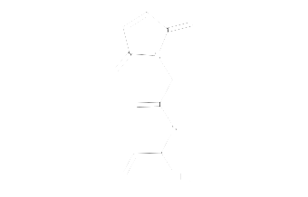 CC(C=O)NC(=O)CN1C(=O)C=CC1=O